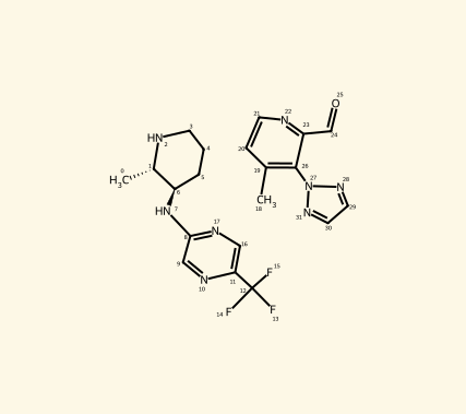 C[C@@H]1NCCC[C@H]1Nc1cnc(C(F)(F)F)cn1.Cc1ccnc(C=O)c1-n1nccn1